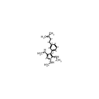 CNc1nn(NC)c(NC)c1-c1cccc(CCN(C)C)c1